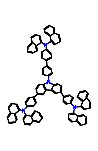 c1ccc2c(N(c3ccc(-c4ccc(-n5c6ccc(-c7ccc(N(c8cccc9ccccc89)c8cccc9ccccc89)cc7)cc6c6cc(-c7ccc(N(c8cccc9ccccc89)c8cccc9ccccc89)cc7)ccc65)cc4)cc3)c3cccc4ccccc34)cccc2c1